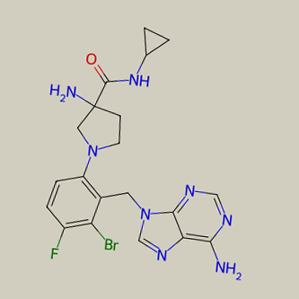 Nc1ncnc2c1ncn2Cc1c(N2CCC(N)(C(=O)NC3CC3)C2)ccc(F)c1Br